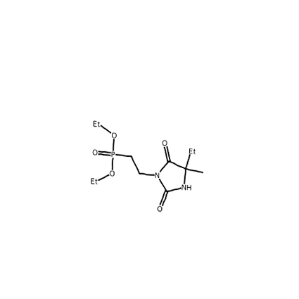 CCOP(=O)(CCN1C(=O)NC(C)(CC)C1=O)OCC